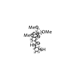 COCCN(CCOC)S(=O)(=O)c1cc(C(=O)Nc2cccc(S)c2)ccc1OC